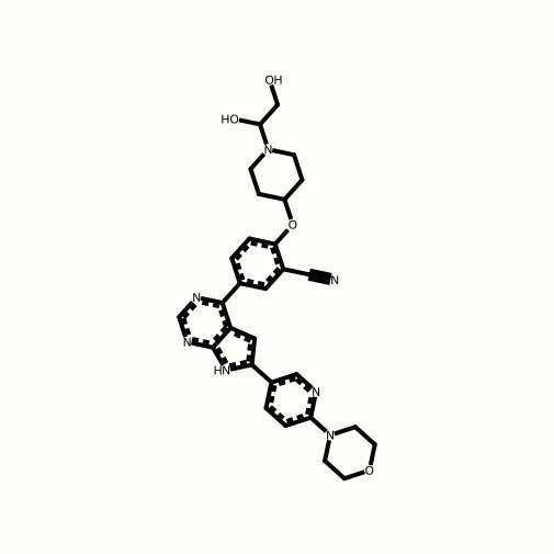 N#Cc1cc(-c2ncnc3[nH]c(-c4ccc(N5CCOCC5)nc4)cc23)ccc1OC1CCN(C(O)CO)CC1